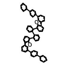 c1ccc(-c2ccc(-c3cccc4c3oc3c(-c5ccccc5-c5ccccc5-c5cccc6c5oc5c(-c7ccc(-c8ccccc8)cc7)cccc56)cccc34)cc2)cc1